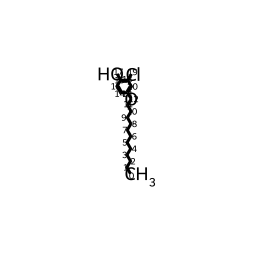 CCCCCCCCCCCCOc1ccc(O)c(Cl)c1